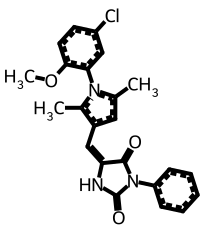 COc1ccc(Cl)cc1-n1c(C)cc(C=C2NC(=O)N(c3ccccc3)C2=O)c1C